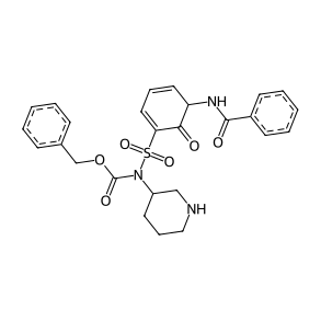 O=C(NC1C=CC=C(S(=O)(=O)N(C(=O)OCc2ccccc2)C2CCCNC2)C1=O)c1ccccc1